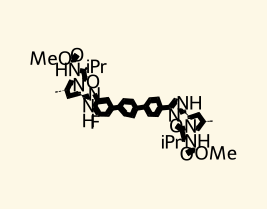 COC(=O)N[C@H](C(=O)N1C[C@@H](C)C[C@H]1c1nc(-c2ccc(-c3ccc(-c4cc(F)c5[nH]c([C@@H]6C[C@H](C)CN6C(=O)[C@@H](NC(=O)OC)C(C)C)nc5c4)cc3)cc2)c[nH]1)C(C)C